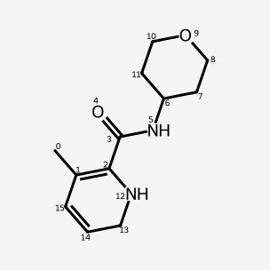 CC1=C(C(=O)NC2CCOCC2)NCC=C1